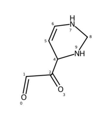 O=CC(=O)C1C=CNCN1